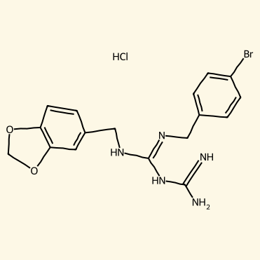 Cl.N=C(N)NC(=NCc1ccc(Br)cc1)NCc1ccc2c(c1)OCO2